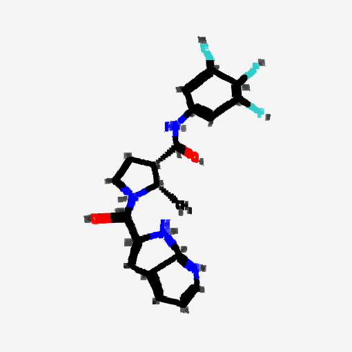 C[C@H]1[C@@H](C(=O)Nc2cc(F)c(F)c(F)c2)CCN1C(=O)c1cc2cccnc2[nH]1